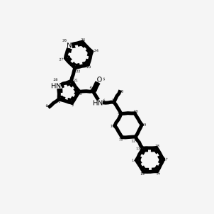 Cc1cc(C(=O)NC(C)C2CCC(c3ccccc3)CC2)c(-c2cccnc2)[nH]1